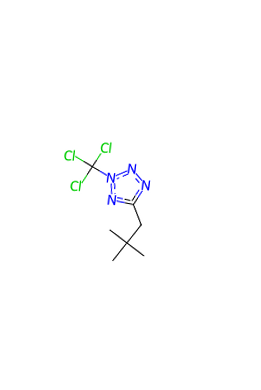 CC(C)(C)Cc1nnn(C(Cl)(Cl)Cl)n1